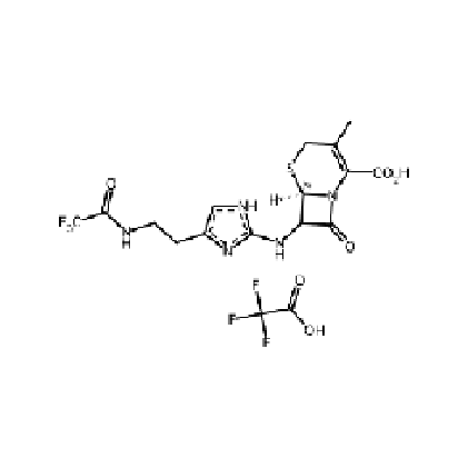 CC1=C(C(=O)O)N2C(=O)C(Nc3nc(CCNC(=O)C(F)(F)F)c[nH]3)[C@H]2SC1.O=C(O)C(F)(F)F